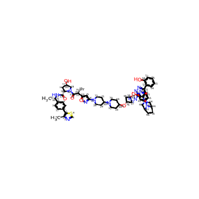 Cc1ncsc1-c1ccc([C@H](C)NC(=O)[C@@H]2C[C@@H](O)CN2C(=O)[C@H](c2cc(N3CCC(N4CCC(O[C@H]5C[C@H](Oc6cc(N7C8CCC7CN(c7cc(-c9ccccc9O)nnc7N)C8)ccn6)C5)CC4)CC3)no2)C(C)C)cc1